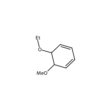 CCO[C]1C=CC=CC1OC